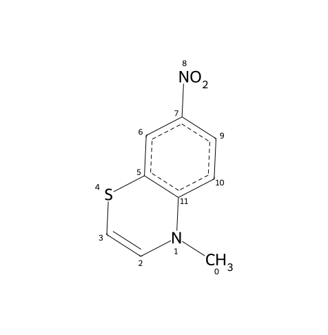 CN1C=CSc2cc([N+](=O)[O-])ccc21